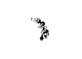 C[C@@H](C(=O)Nc1cccc(-c2cnc(C(F)(F)F)nc2)n1)n1cnc2c1C(=O)N(CC1COC1)C1OC1N2C